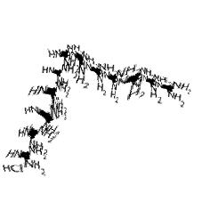 Cl.N=C(N)N.N=C(N)N.N=C(N)N.N=C(N)N.N=C(N)N.N=C(N)N.N=C(N)N.N=C(N)N.N=C(N)N.N=C(N)N.N=C(N)N.N=C(N)N